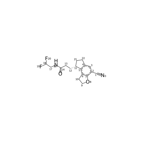 N#Cc1cc2c(c3c1OCC3)[C@H](CCC(=O)NCC(F)F)CC2